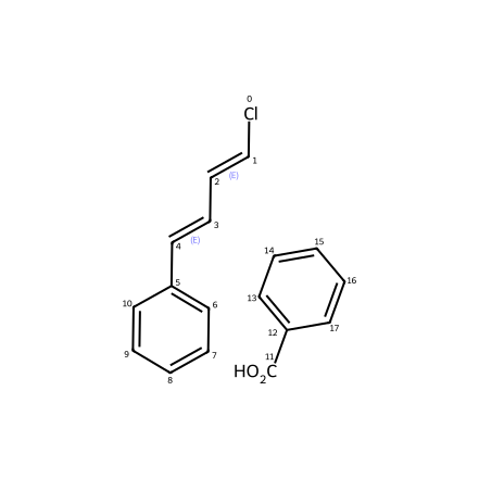 Cl/C=C/C=C/c1ccccc1.O=C(O)c1ccccc1